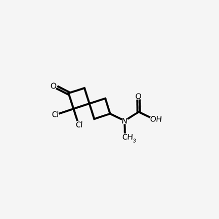 CN(C(=O)O)C1CC2(CC(=O)C2(Cl)Cl)C1